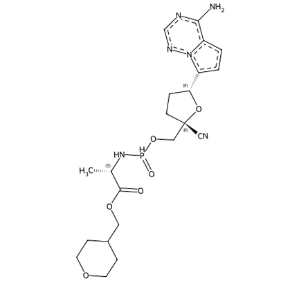 C[C@H](N[PH](=O)OC[C@]1(C#N)CC[C@H](c2ccc3c(N)ncnn23)O1)C(=O)OCC1CCOCC1